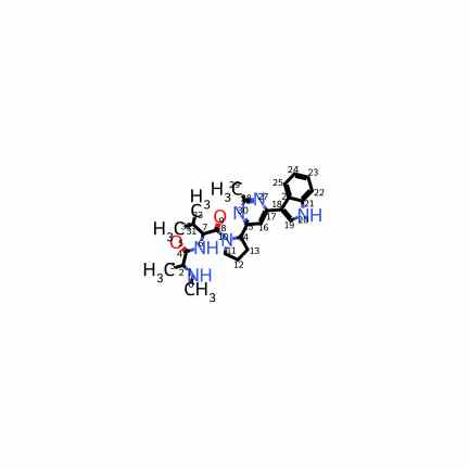 CNC(C)C(=O)NC(C(=O)N1CCCC1c1cc(-c2c[nH]c3ccccc23)nc(C)n1)C(C)C